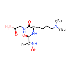 BC(=O)CNC(=O)[C@H](CCCCN(CCCC)CCCC)NC(=O)[C@@H](NO)C(C)C